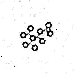 c1ccc(N(c2ccccc2)c2cc(N(c3ccccc3)c3ccccc3)cc(N(c3ccccc3)c3cccc(-n4c5ccccc5c5ccccc54)c3)c2)cc1